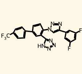 Fc1cc(F)cc(-c2cn(-c3ccc(-c4ccc(C(F)(F)F)cc4)cc3-c3nnn[nH]3)nn2)c1